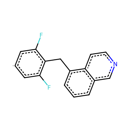 Fc1c[c]cc(F)c1Cc1cccc2cnccc12